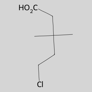 CC(C)(CCCl)CC(=O)O